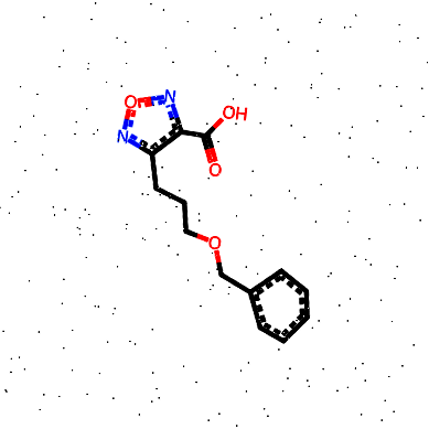 O=C(O)c1nonc1CCCOCc1ccccc1